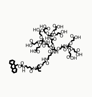 CCC(CC)(CNC(=O)CCCNC(=O)OCc1c2ccccc2cc2ccccc12)COCCC(=O)NCCCC(=O)NC(COCCC(=O)NC(COCCC(=O)O)(COCCC(=O)O)COCCC(=O)O)(COCCC(=O)NC(COCCC(=O)O)(COCCC(=O)O)COCCC(=O)O)COCCC(=O)NC(COCCC(=O)O)(COCCC(=O)O)COCCC(=O)O